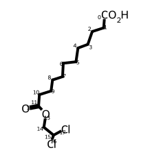 O=C(O)CCCCCCCCCCC(=O)OCC(Cl)Cl